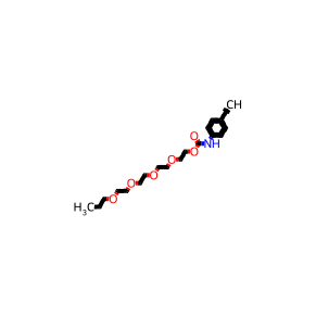 C#Cc1ccc(NC(=O)OCCOCCOCCOCCOCCC)cc1